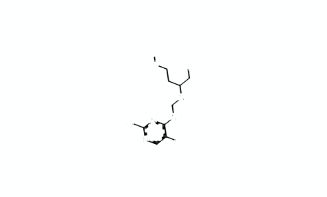 Bc1cnc(Cl)nc1NCNC(CC)CCPC